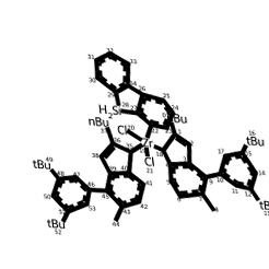 CCCCC1=Cc2c(ccc(C)c2-c2cc(C(C)(C)C)cc(C(C)(C)C)c2)[CH]1[Zr]([Cl])([Cl])([c]1cccc2c1[SiH2]c1ccccc1-2)[CH]1C(CCCC)=Cc2c1ccc(C)c2-c1cc(C(C)(C)C)cc(C(C)(C)C)c1